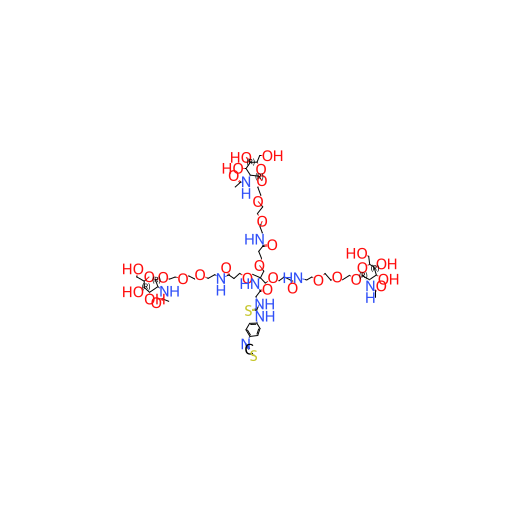 CC(=O)NC1C(O)[C@@H](O)C(CO)O[C@H]1OCCOCCOCCNC(=O)CCOCC(COCCC(=O)NCCOCCOCCO[C@@H]1OC(CO)[C@H](O)C(O)C1NC(C)=O)(COCCC(=O)NCCOCCOCCO[C@@H]1OC(CO)[C@H](O)C(O)C1NC(C)=O)NC(=O)CNC(=S)Nc1ccc(N=C=S)cc1